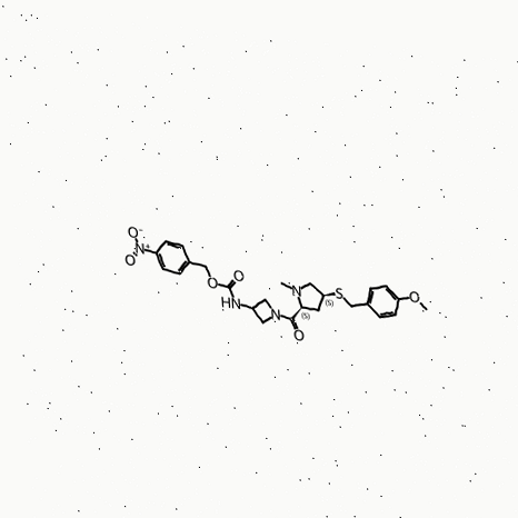 COc1ccc(CS[C@H]2C[C@@H](C(=O)N3CC(NC(=O)OCc4ccc([N+](=O)[O-])cc4)C3)N(C)C2)cc1